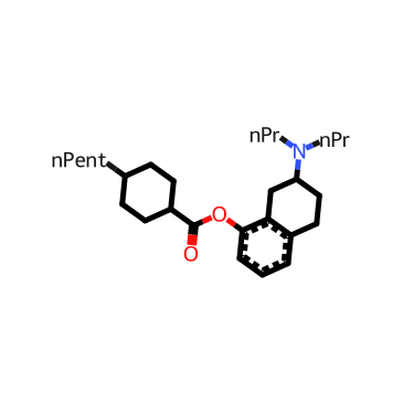 CCCCCC1CCC(C(=O)Oc2cccc3c2CC(N(CCC)CCC)CC3)CC1